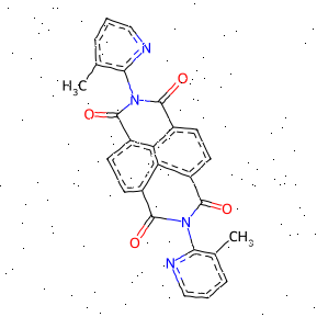 Cc1cccnc1N1C(=O)c2ccc3c4c(ccc(c24)C1=O)C(=O)N(c1ncccc1C)C3=O